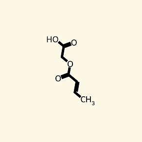 CC=CC(=O)OCC(=O)O